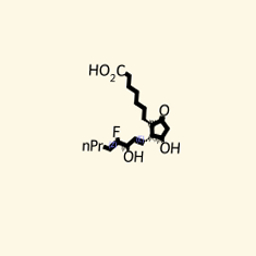 CCC/C=C(\F)[C@H](O)/C=C/[C@H]1[C@H](O)CC(=O)[C@@H]1CCCCCCC(=O)O